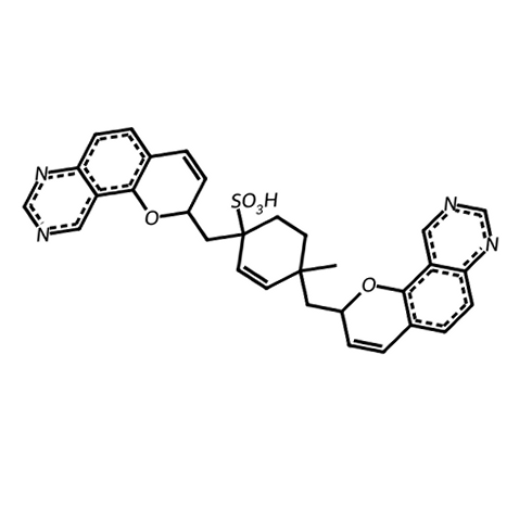 CC1(CC2C=Cc3ccc4ncncc4c3O2)C=CC(CC2C=Cc3ccc4ncncc4c3O2)(S(=O)(=O)O)CC1